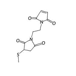 CSC1CC(=O)N(CCN2C(=O)C=CC2=O)C1=O